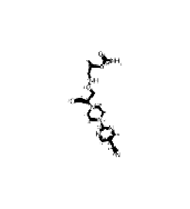 CC(CNOCC(=C=O)N1CCN(c2ncc(C#N)cn2)CC1)OC(N)=O